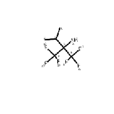 CC(C)C(S)(C(F)(F)F)C(F)(F)F